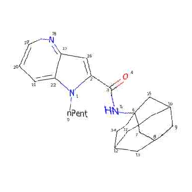 CCCCCn1c(C(=O)NC23CC4CC(CC(C4)C2)C3)cc2ncccc21